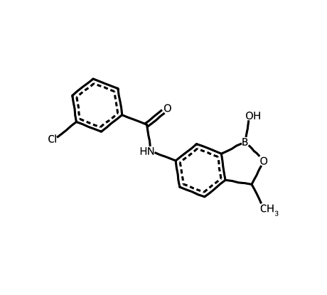 CC1OB(O)c2cc(NC(=O)c3cccc(Cl)c3)ccc21